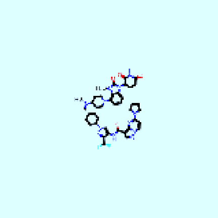 CN(C[C@H]1CC[C@H](n2cc(NC(=O)c3cnn4ccc(N5CCCC5)nc34)c(C(F)F)n2)CC1)C1CCN(c2cccc3c2n(C)c(=O)n3C2CCC(=O)NC2=O)CC1